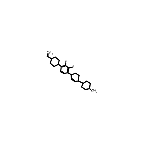 C=CC1CCC(c2ccc(C3C=CC(C4CCC(C)CC4)CC3)c(F)c2F)CC1